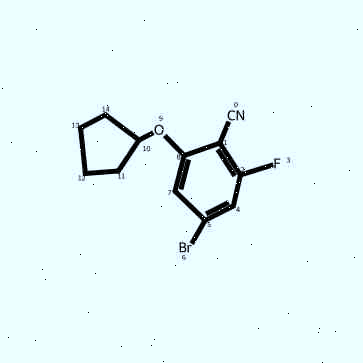 N#Cc1c(F)cc(Br)cc1OC1CCCC1